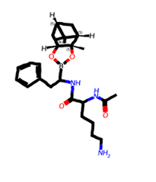 CC(=O)NC(CCCCN)C(=O)NC(Cc1ccccc1)B1O[C@@H]2C[C@@H]3C[C@@H](C3(C)C)[C@]2(C)O1